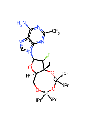 CC(C)[Si]1(C(C)C)OC[C@H]2O[C@@H](n3cnc4c(N)nc(C(F)(F)F)nc43)[C@@H](F)[C@@H]2O[Si](C(C)C)(C(C)C)O1